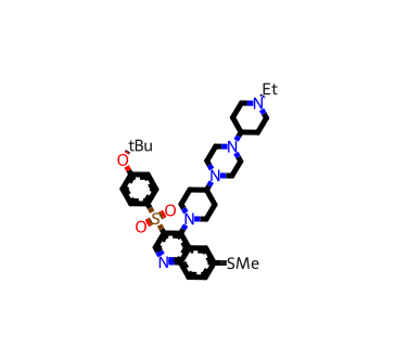 CCN1CCC(N2CCN(C3CCN(c4c(S(=O)(=O)c5ccc(OC(C)(C)C)cc5)cnc5ccc(SC)cc45)CC3)CC2)CC1